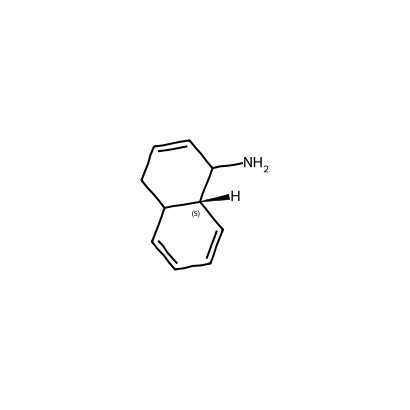 NC1C=CCC2C=CC=C[C@@H]12